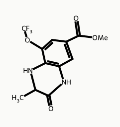 COC(=O)c1cc2c(c(OC(F)(F)F)c1)NC(C)C(=O)N2